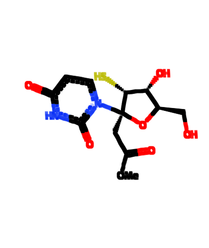 COC(=O)C[C@@]1(n2ccc(=O)[nH]c2=O)O[C@H](CO)[C@@H](O)[C@H]1S